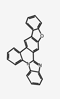 c1ccc2c(c1)nc1c3cc4oc5ccccc5c4cc3c3ccccc3n21